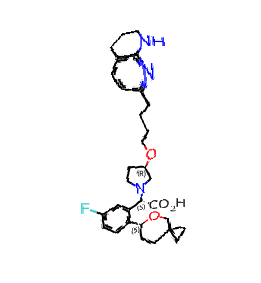 O=C(O)[C@H](c1cc(F)ccc1[C@@H]1CCC2(CC2)CO1)N1CC[C@@H](OCCCCc2ccc3c(n2)NCCC3)C1